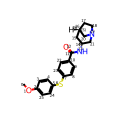 COc1ccc(Sc2ccc(C(=O)N[C@@H]3C[C@@H]4CCN(C4)C3)cc2)cc1